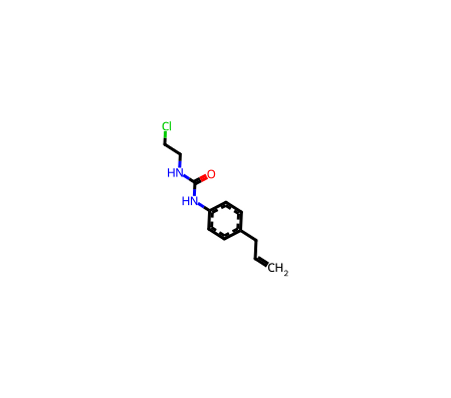 C=CCc1ccc(NC(=O)NCCCl)cc1